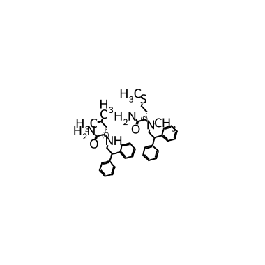 CC(C)C[C@H](NCC(c1ccccc1)c1ccccc1)C(N)=O.CSCC[C@@H](C(N)=O)N(C)CC(c1ccccc1)c1ccccc1